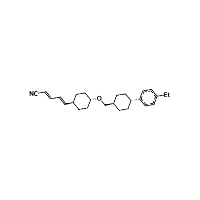 CCc1ccc([C@H]2CC[C@H](CO[C@H]3CC[C@H](C=CC=CC#N)CC3)CC2)cc1